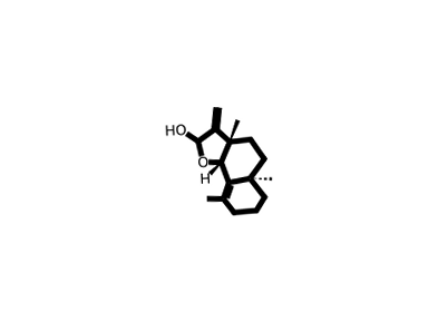 C=C1C(O)O[C@H]2C3=C(C)CCC[C@]3(C)CC[C@@]12C